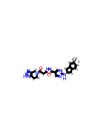 O=C(Cc1nnc(-c2cnc(N[C@H]3Cc4ccc(C(F)(F)F)cc4C3)nc2)o1)N1CCc2[nH]nnc2C1